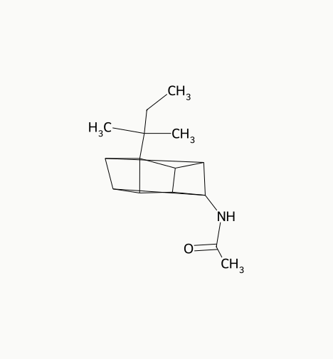 CCC(C)(C)C12C3C4C1C1C2C3C41NC(C)=O